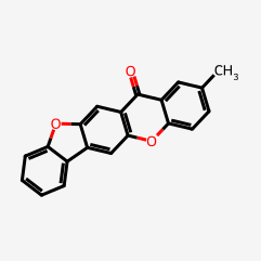 Cc1ccc2oc3cc4c(cc3c(=O)c2c1)oc1ccccc14